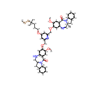 COc1cc2c(cc1OCc1cc(OCCCC(C)(C)SSC)cc(COc3cc4c(cc3OC)C(=O)N3c5ccccc5CC3CN4)n1)N=C[C@@H]1Cc3ccccc3N1C2=O